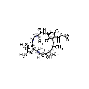 CO[C@H]1C[C@H](C)CC2=C(NCC3CC3)C(=O)C=C(NC(=O)/C(C)=C/C=C\[C@@H](OC)[C@@H](OC(N)=O)/C(C)=C/[C@H](C)[C@H]1O)C2=O